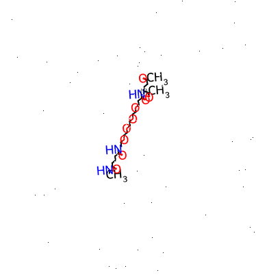 CNC(=O)CCCC(=O)NCCOCCOCCOCCOCCC(=O)N[C@@H](CCC(C)=O)C(C)=O